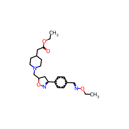 CCON=Cc1ccc(C2=NOC(CN3CCC(CC(=O)OCC)CC3)C2)cc1